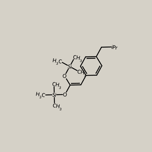 CC(C)Cc1ccc(C=C(O[Si](C)(C)C)O[Si](C)(C)C)cc1